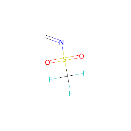 C=NS(=O)(=O)C(F)(F)F